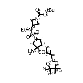 CCN(C1CN(C(=O)OC(C)(C)C)C1)S(=O)(=O)N1C[C@H](CCCB2OC(C)(C)C(C)(C)O2)[C@](N)(C(=O)O)C1